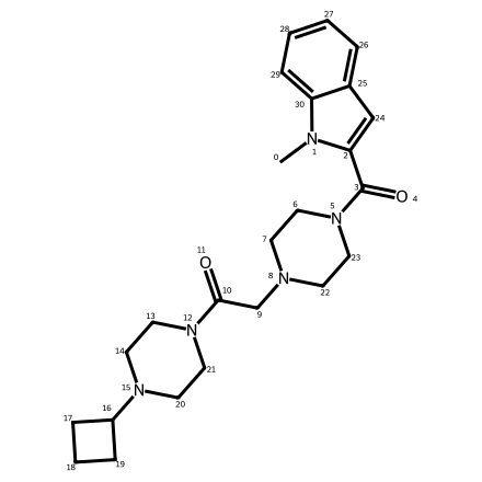 Cn1c(C(=O)N2CCN(CC(=O)N3CCN(C4CCC4)CC3)CC2)cc2ccccc21